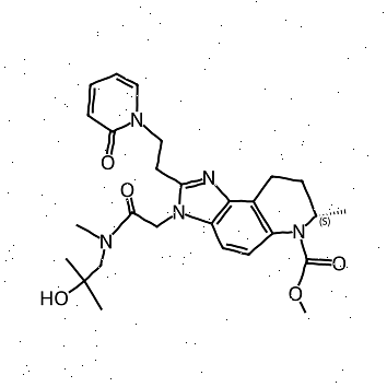 COC(=O)N1c2ccc3c(nc(CCn4ccccc4=O)n3CC(=O)N(C)CC(C)(C)O)c2CC[C@@H]1C